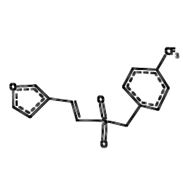 O=S(=O)(C=Cc1ccoc1)Cc1ccc(C(F)(F)F)cc1